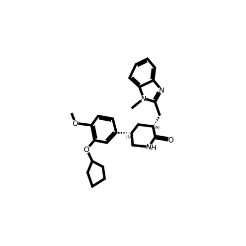 COc1ccc([C@H]2CNC(=O)[C@@H](Cc3nc4ccccc4n3C)C2)cc1OC1CCCC1